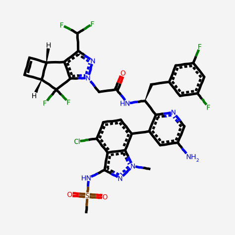 Cn1nc(NS(C)(=O)=O)c2c(Cl)ccc(-c3cc(N)cnc3[C@H](Cc3cc(F)cc(F)c3)NC(=O)Cn3nc(C(F)F)c4c3C(F)(F)[C@@H]3C=C[C@H]43)c21